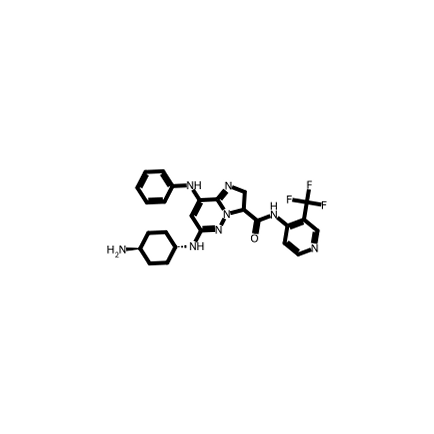 N[C@H]1CC[C@H](NC2=NN3C(=NCC3C(=O)Nc3ccncc3C(F)(F)F)C(Nc3ccccc3)=C2)CC1